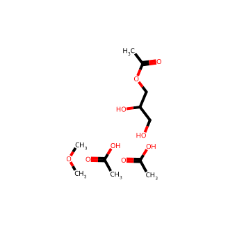 CC(=O)O.CC(=O)O.CC(=O)OCC(O)CO.COC